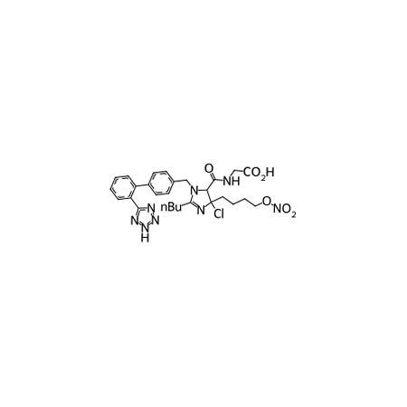 CCCCC1=NC(Cl)(CCCCO[N+](=O)[O-])C(C(=O)NCC(=O)O)N1Cc1ccc(-c2ccccc2-c2nn[nH]n2)cc1